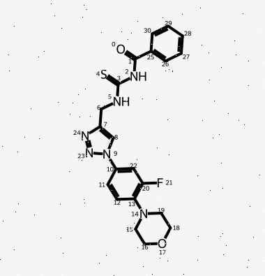 O=C(NC(=S)NCc1cn(-c2ccc(N3CCOCC3)c(F)c2)nn1)c1ccccc1